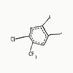 Cc1cc(C(F)(F)F)c(Cl)cc1I